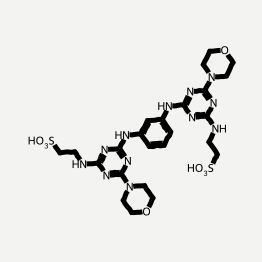 O=S(=O)(O)CCNc1nc(Nc2cccc(Nc3nc(NCCS(=O)(=O)O)nc(N4CCOCC4)n3)c2)nc(N2CCOCC2)n1